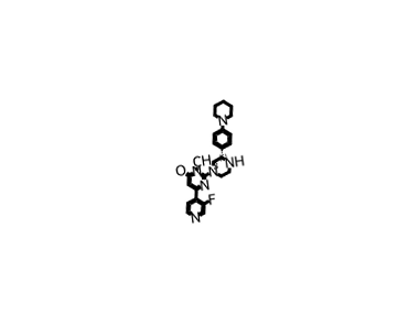 Cn1c(N2CCN[C@@H](c3ccc(N4CCCCC4)cc3)C2)nc(-c2ccncc2F)cc1=O